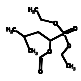 CCOP(=O)(OCC)C(CC(C)C)OC=O